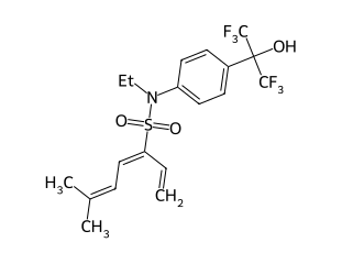 C=C/C(=C\C=C(C)C)S(=O)(=O)N(CC)c1ccc(C(O)(C(F)(F)F)C(F)(F)F)cc1